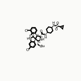 CC(C)(C)C[C@H]1N[C@@H](C(=O)N[C@H]2CC[C@H](NS(=O)(=O)C3CC3)CC2)[C@H](c2cccc(Cl)c2F)[C@@]12C(=O)Nc1cc(Cl)ccc12